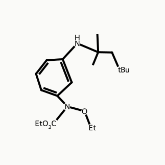 CCOC(=O)N(OCC)c1cccc(NC(C)(C)CC(C)(C)C)c1